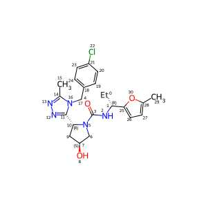 CC[C@@H](NC(=O)N1C[C@@H](O)C[C@@H]1c1nnc(C)n1Cc1ccc(Cl)cc1)c1ccc(C)o1